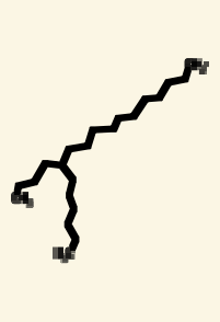 [CH2]CCCCCCCCCCC(CCCC)CCCCCC